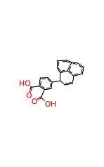 O=C(O)c1ccc(C2C=Cc3cccc4cccc2c34)cc1C(=O)O